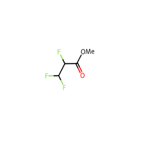 COC(=O)C(F)C(F)F